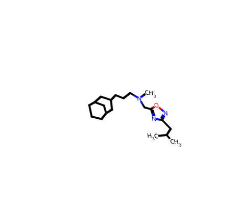 CC(C)Cc1noc(CN(C)CCCC2CC3CCCC(C3)C2)n1